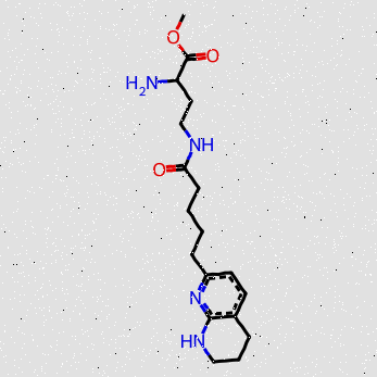 COC(=O)C(N)CCNC(=O)CCCCc1ccc2c(n1)NCCC2